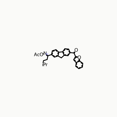 CC(=O)O/N=C(\CCC(C)C)c1ccc2c(c1)Cc1cc(C(=O)c3cc4ccccc4o3)ccc1-2